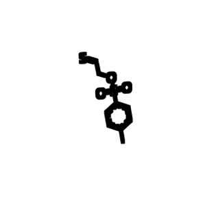 Cc1ccc(S(=O)(=O)OCC=S)cc1